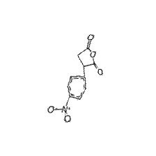 O=C1CC(c2ccc([N+](=O)[O-])cc2)C(=O)O1